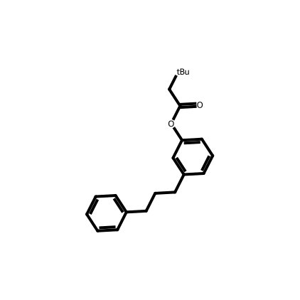 CC(C)(C)CC(=O)Oc1cccc(CCCc2ccccc2)c1